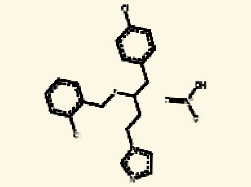 Clc1ccc(CC(CCn2ccnc2)SCc2ccccc2Cl)cc1.O=[N+]([O-])O